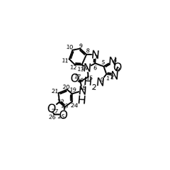 Nc1nonc1-c1nc2ccccc2n1CC(=O)Nc1ccc2c(c1)OCO2